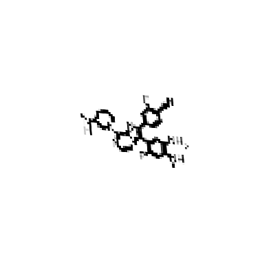 CNc1cc(F)c(-c2c(-c3ccc(C#N)c(F)c3)nc3c(N4CCCC(NC)C4)nccn23)cc1N